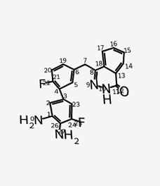 Nc1cc(-c2cc(Cc3n[nH]c(=O)c4ccccc34)ccc2F)cc(F)c1N